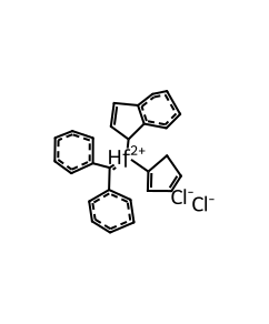 C1=CC[C]([Hf+2](=[C](c2ccccc2)c2ccccc2)[CH]2C=Cc3ccccc32)=C1.[Cl-].[Cl-]